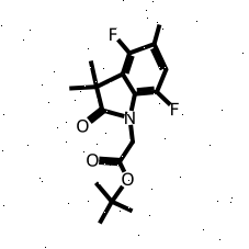 Cc1cc(F)c2c(c1F)C(C)(C)C(=O)N2CC(=O)OC(C)(C)C